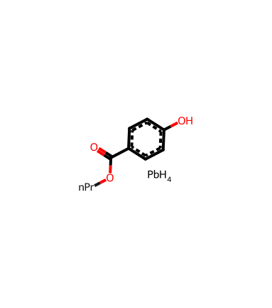 CCCOC(=O)c1ccc(O)cc1.[PbH4]